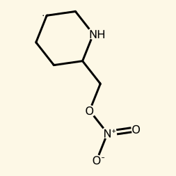 O=[N+]([O-])OCC1CC[CH]CN1